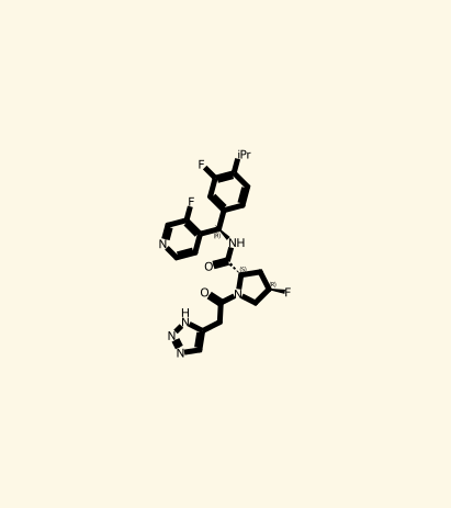 CC(C)c1ccc([C@@H](NC(=O)[C@@H]2C[C@@H](F)CN2C(=O)Cc2cnn[nH]2)c2ccncc2F)cc1F